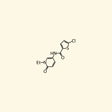 CCn1cc(NC(=O)c2ccc(Cl)s2)ccc1=O